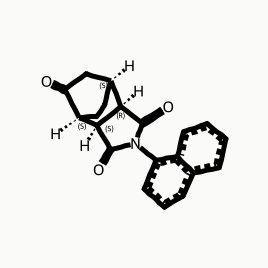 O=C1C[C@@H]2CC[C@H]1[C@@H]1C(=O)N(c3cccc4ccccc34)C(=O)[C@H]21